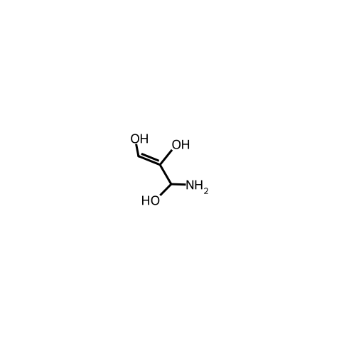 NC(O)C(O)=CO